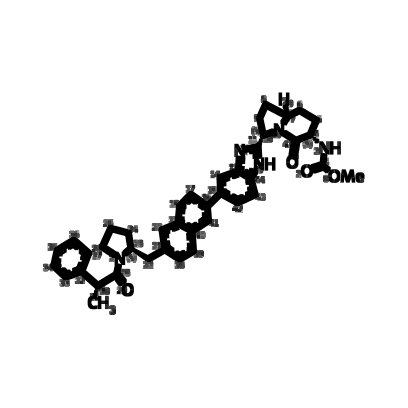 COC(=O)N[C@H]1CC[C@H]2CC[C@@H](c3nc4cc(-c5ccc6cc(C[C@@H]7CCCN7C(=O)[C@H](C)c7ccccc7)ccc6c5)ccc4[nH]3)N2C1=O